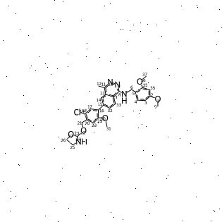 COc1ccc(CNc2nnc(C)c3cc(-c4cc(Cl)c(COC5NCCO5)cc4OC)ccc23)c(OC)c1